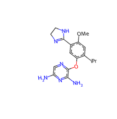 COc1cc(C(C)C)c(Oc2ncc(N)nc2N)cc1C1=NCCN1